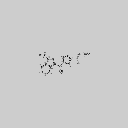 CCC(=NOC)c1csc(C(O)c2cn(C(=O)O)c3ccccc23)n1